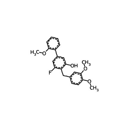 COc1ccc(Cc2c(O)cc(-c3ccccc3OC)cc2F)cc1OC